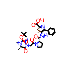 C[C@@H](C(=O)NCC(=O)N1CCC[C@H]1C(=O)Nc1sc(C(=O)O)nc1-c1ccccc1)N(C)C(=O)OC(C)(C)C